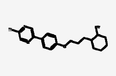 CCCC1CCCCC1CCCOc1ccc(-c2cnc(CC)cn2)cc1